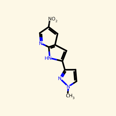 Cn1ccc(-c2cc3cc([N+](=O)[O-])cnc3[nH]2)n1